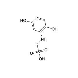 O=S(=O)(O)CNc1cc(O)ccc1O